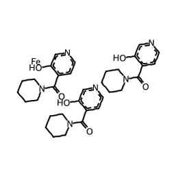 O=C(c1ccncc1O)N1CCCCC1.O=C(c1ccncc1O)N1CCCCC1.O=C(c1ccncc1O)N1CCCCC1.[Fe]